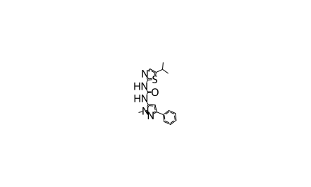 CC(C)c1cnc(NC(=O)Nc2cc(-c3ccccc3)nn2C)s1